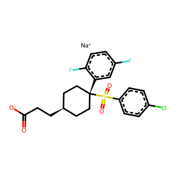 O=C([O-])CC[C@H]1CC[C@](c2cc(F)ccc2F)(S(=O)(=O)c2ccc(Cl)cc2)CC1.[Na+]